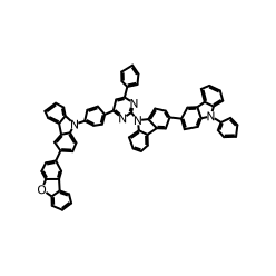 c1ccc(-c2cc(-c3ccc(-n4c5ccccc5c5cc(-c6ccc7oc8ccccc8c7c6)ccc54)cc3)nc(-n3c4ccccc4c4cc(-c5ccc6c(c5)c5ccccc5n6-c5ccccc5)ccc43)n2)cc1